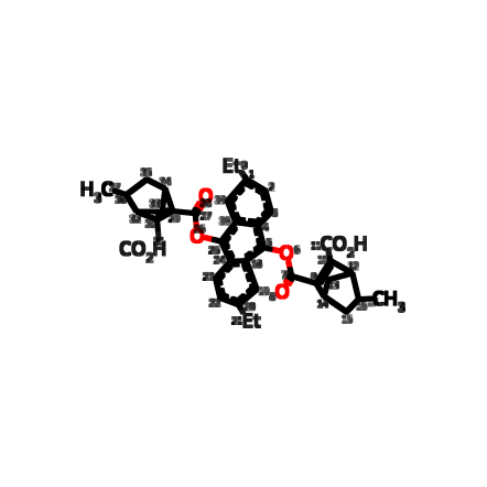 CCc1ccc2c(OC(=O)C3=C(C(=O)O)C4CC3CC4C)c3cc(CC)ccc3c(OC(=O)C3=C(C(=O)O)C4CC3CC4C)c2c1